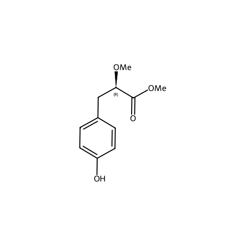 COC(=O)[C@@H](Cc1ccc(O)cc1)OC